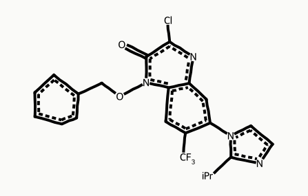 CC(C)c1nccn1-c1cc2nc(Cl)c(=O)n(OCc3ccccc3)c2cc1C(F)(F)F